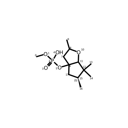 COP(=O)(O)OC12CC(C)OC1C(C)(C)[C@@H](C)C2